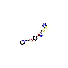 c1nnc(SCc2nnc(-c3ccc(OCCCN4CCCCC4)cc3)o2)s1